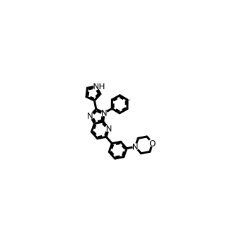 [c]1ccc(-n2c(-c3cc[nH]c3)nc3ccc(-c4cccc(N5CCOCC5)c4)nc32)cc1